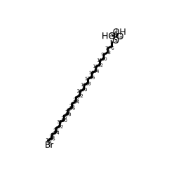 O=P(O)(O)OCCCCCCCCCCCCCCCCCCCCCCCCCCCCCCCCCBr